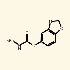 CCCCNC(=O)Oc1ccc2c(c1)OCO2